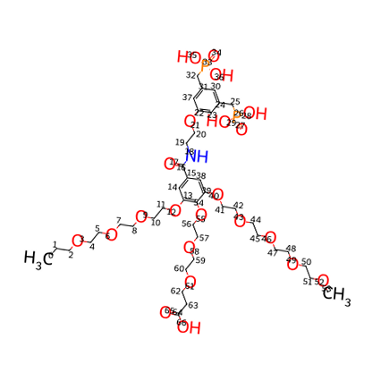 CCCOCCOCCOCCOc1cc(C(=O)NCCOc2cc(CP(=O)(O)O)cc(CP(=O)(O)O)c2)cc(OCCOCCOCCOCCOC)c1OCCOCCOCCC(=O)O